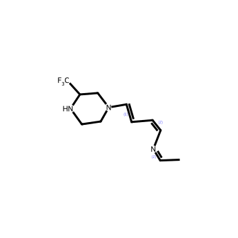 C\C=N/C=C\C=C\N1CCNC(C(F)(F)F)C1